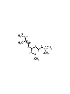 CCC[C@H](CCCN(C)C)CN/C(C)=N/C